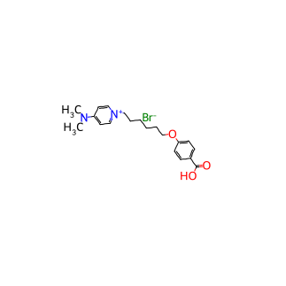 CN(C)c1cc[n+](CCCCCCOc2ccc(C(=O)O)cc2)cc1.[Br-]